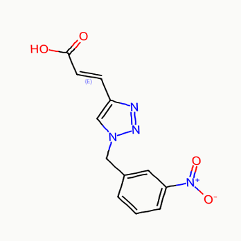 O=C(O)/C=C/c1cn(Cc2cccc([N+](=O)[O-])c2)nn1